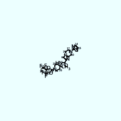 CC1(NC(=O)c2cn3c(n2)CN(c2ncco2)CC3)CCN(C(=O)OC(C(F)(F)F)C(F)(F)F)CC1